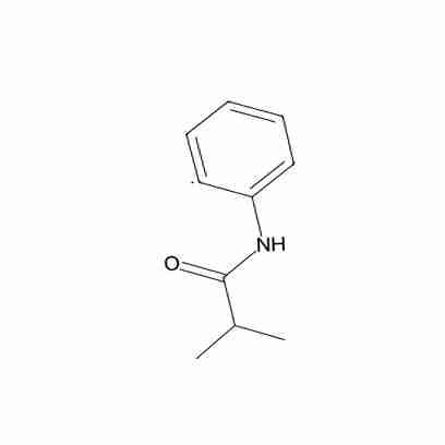 CC(C)C(=O)Nc1[c]cccc1